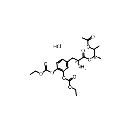 CCOC(=O)Oc1ccc(C[C@H](N)C(=O)O[C@H](C)C(C)OC(C)=O)cc1OC(=O)OCC.Cl